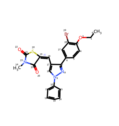 CCOc1ccc(-c2nn(-c3ccccc3)cc2/C=C2/SC(=O)N(C)C2=O)cc1Br